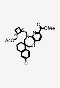 COC(=O)c1ccc2c(n1)N(C[C@@H]1CC[C@H]1COC(C)=O)CC1(CCCc3cc(Cl)ccc31)CO2